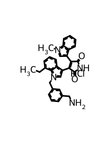 CCc1cccc2c(C3=C(c4cn(C)c5ccccc45)C(=O)NC3=O)cn(Cc3cccc(CN)c3)c12.Cl